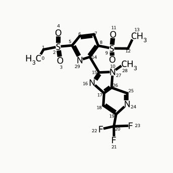 CCS(=O)(=O)c1ccc(S(=O)(=O)CC)c(-c2nc3cc(C(F)(F)F)ncc3n2C)n1